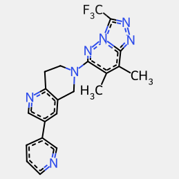 Cc1c(N2CCc3ncc(-c4cccnc4)cc3C2)nn2c(C(F)(F)F)nnc2c1C